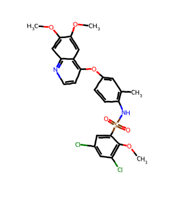 COc1cc2nccc(Oc3ccc(NS(=O)(=O)c4cc(Cl)cc(Cl)c4OC)c(C)c3)c2cc1OC